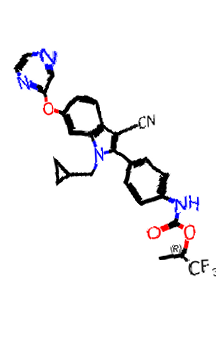 C[C@@H](OC(=O)Nc1ccc(-c2c(C#N)c3ccc(Oc4cnccn4)cc3n2CC2CC2)cc1)C(F)(F)F